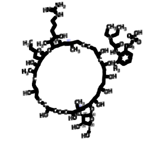 CCCCC1C(=O)OC(C(C)C(O)CCCNC(=N)N)C(C)/C=C(\C)CCCCC(O)CC(O)CC(O)CC(O)CC(O)C(O[C@H]2O[C@H](CO)[C@@H](O)[C@@H]2O)/C=C(\C)C(O)CCCC(O)CCCC(O)CCC(C)C1O.CCN(CC)CC(=O)Nc1c(C)cccc1C.O=S(=O)(O)O